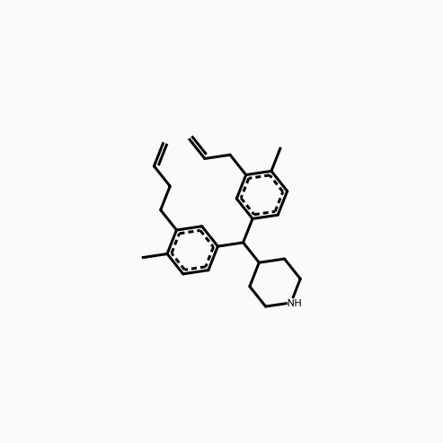 C=CCCc1cc(C(c2ccc(C)c(CC=C)c2)C2CCNCC2)ccc1C